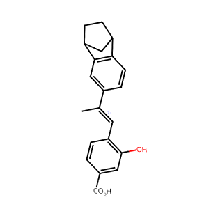 C/C(=C\c1ccc(C(=O)O)cc1O)c1ccc2c(c1)C1CCC2C1